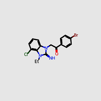 CCn1c(=N)n(CC(=O)c2ccc(Br)cc2)c2cccc(Cl)c21